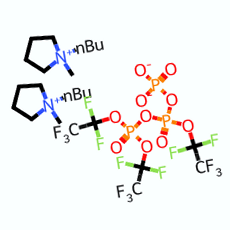 CCCC[N+]1(C)CCCC1.CCCC[N+]1(C)CCCC1.O=P([O-])([O-])OP(=O)(OC(F)(F)C(F)(F)F)OP(=O)(OC(F)(F)C(F)(F)F)OC(F)(F)C(F)(F)F